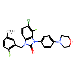 O=C(O)c1ccc(F)c(Cn2c(=O)n(-c3ccc(N4CCOCC4)cc3)c3c(F)c(Cl)ccc32)c1